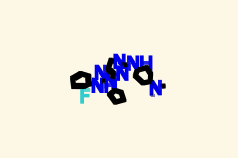 CN(C)[C@H]1CC[C@H](Nc2ncc3nc(Nc4ccccc4F)n(C4CCCC4)c3n2)CC1